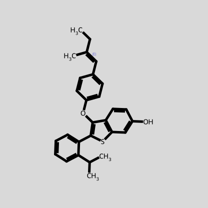 CC/C(C)=C/c1ccc(Oc2c(-c3ccccc3C(C)C)sc3cc(O)ccc23)cc1